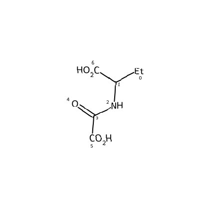 CCC(NC(=O)C(=O)O)C(=O)O